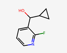 OC(c1cccnc1F)C1CC1